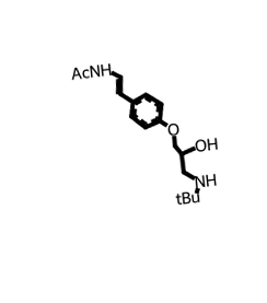 CC(=O)NC=Cc1ccc(OCC(O)CNC(C)(C)C)cc1